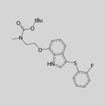 CN(CCOc1cccc2c(Sc3ccccc3F)c[nH]c12)C(=O)OC(C)(C)C